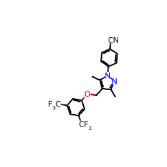 Cc1nn(-c2ccc(C#N)cc2)c(C)c1COc1cc(C(F)(F)F)cc(C(F)(F)F)c1